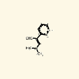 CN(C)C=C(C=O)c1cccnn1